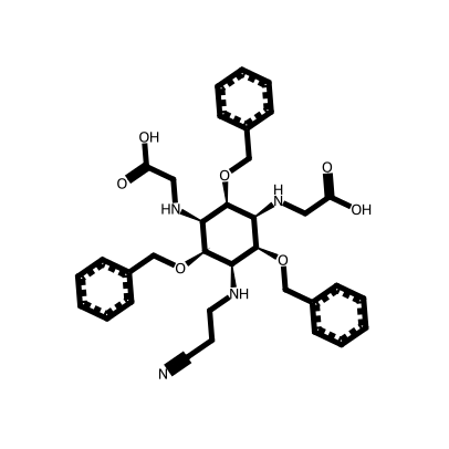 N#CCCN[C@H]1[C@@H](OCc2ccccc2)[C@@H](NCC(=O)O)[C@@H](OCc2ccccc2)[C@@H](NCC(=O)O)[C@H]1OCc1ccccc1